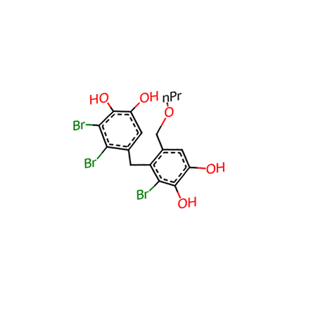 CCCOCc1cc(O)c(O)c(Br)c1Cc1cc(O)c(O)c(Br)c1Br